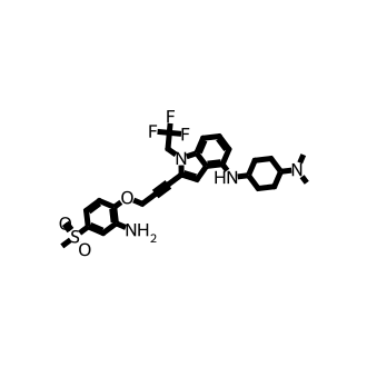 CN(C)C1CCC(Nc2cccc3c2cc(C#CCOc2ccc(S(C)(=O)=O)cc2N)n3CC(F)(F)F)CC1